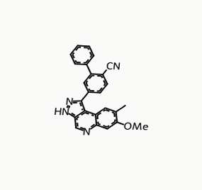 COc1cc2ncc3[nH]nc(-c4ccc(C#N)c(-c5ccccc5)c4)c3c2cc1C